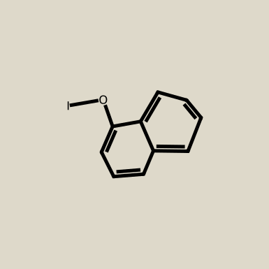 IOc1cccc2ccccc12